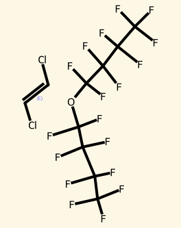 Cl/C=C/Cl.FC(F)(F)C(F)(F)C(F)(F)C(F)(F)OC(F)(F)C(F)(F)C(F)(F)C(F)(F)F